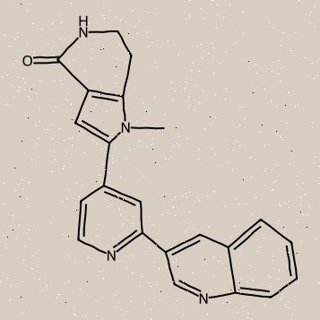 Cn1c(-c2ccnc(-c3cnc4ccccc4c3)c2)cc2c1CCNC2=O